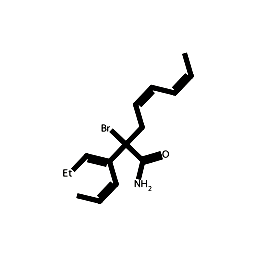 C/C=C\C=C/CC(Br)(C(N)=O)C(/C=C\C)=C/CC